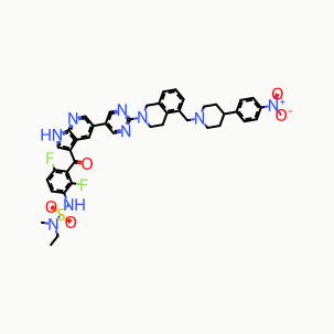 CCN(C)S(=O)(=O)Nc1ccc(F)c(C(=O)c2c[nH]c3ncc(-c4cnc(N5CCc6c(CN7CCC(c8ccc([N+](=O)[O-])cc8)CC7)cccc6C5)nc4)cc23)c1F